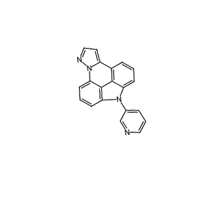 c1cncc(-n2c3cccc4c3c3c2cccc3n2nccc42)c1